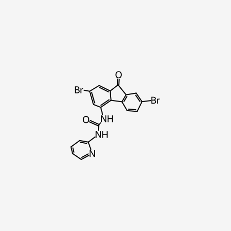 O=C(Nc1ccccn1)Nc1cc(Br)cc2c1-c1ccc(Br)cc1C2=O